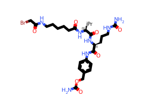 CC(C)[C@H](NC(=O)CCCCCNC(=O)CBr)C(=O)N[C@@H](CCCNC(N)=O)C(=O)Nc1ccc(COC(N)=O)cc1